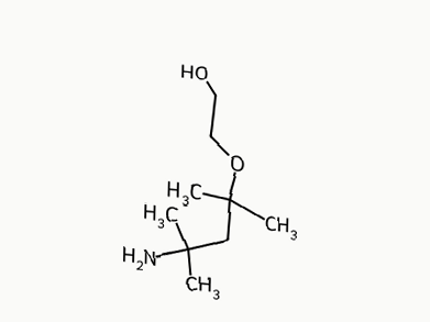 CC(C)(N)CC(C)(C)OCCO